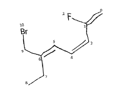 C=C(F)/C=C\C=C(/CC)CBr